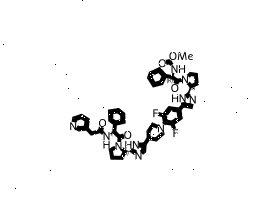 COC(=O)N[C@@H](C(=O)N1CCC[C@H]1c1ncc(-c2cc(F)c(N3CCC(c4cnc([C@@H]5CCCN5C(=O)[C@H](NC(=O)Cc5cccnc5)c5ccccc5)[nH]4)CC3)c(F)c2)[nH]1)c1ccccc1